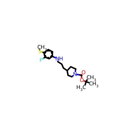 CSc1ccc(NCCCC2CCN(C(=O)OC(C)(C)C)CC2)cc1F